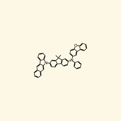 CC1(C)c2cc(N(c3ccccc3)c3ccc4oc5ccccc5c4c3)ccc2-c2ccc(-n3c4ccccc4c4cc5ccccc5cc43)cc21